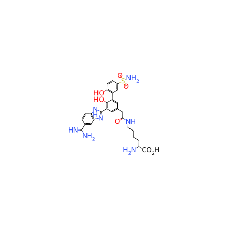 N=C(N)c1ccc2[nH]c(-c3cc(CC(=O)NCCCCC(N)C(=O)O)cc(-c4cc(S(N)(=O)=O)ccc4O)c3O)nc2c1